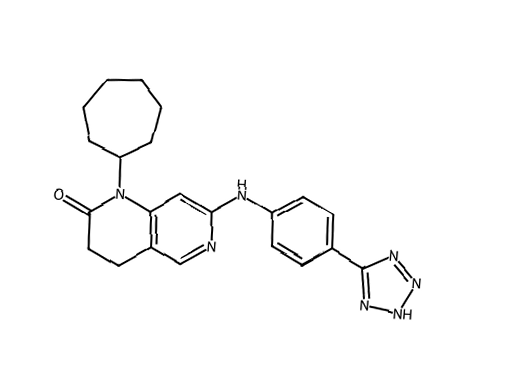 O=C1CCc2cnc(Nc3ccc(-c4nn[nH]n4)cc3)cc2N1C1CCCCCC1